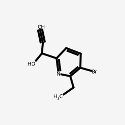 C#CC(O)c1ccc(Br)c(CC)n1